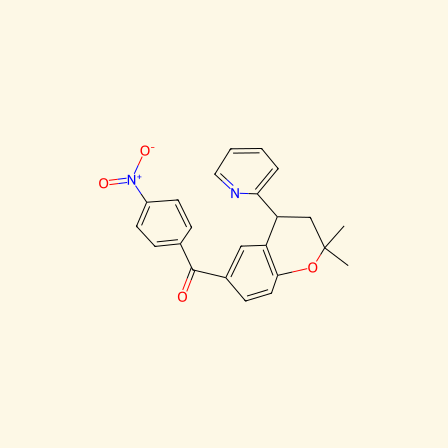 CC1(C)CC(c2ccccn2)c2cc(C(=O)c3ccc([N+](=O)[O-])cc3)ccc2O1